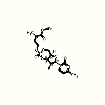 Cc1ccn([C@@H]2S[C@@H]3COP(=O)(OCC[C@@H](C)C(=O)OC(C)C)O[C@H]3[C@@H]2F)c(=O)n1